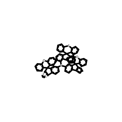 c1ccc2c(c1)Oc1ccccc1C21c2ccccc2-c2ccc(N(c3ccc4c(c3)C3(c5ccccc5Oc5ccccc53)c3ccccc3-4)c3cccc4c3-c3ccccc3C43c4ccccc4Sc4ccccc43)cc21